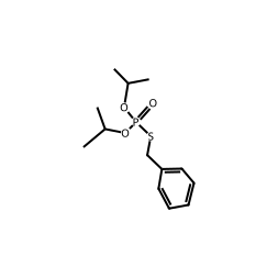 CC(C)OP(=O)(OC(C)C)SCc1ccccc1